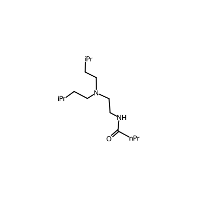 CCCC(=O)NCCN(CCC(C)C)CCC(C)C